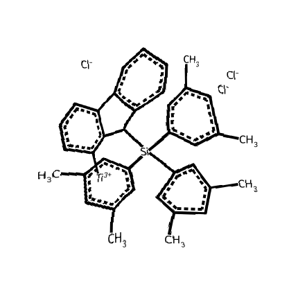 Cc1cc(C)cc([Si](c2cc(C)cc(C)c2)(c2cc(C)cc(C)c2)C2c3ccccc3-c3ccc[c]([Ti+3])c32)c1.[Cl-].[Cl-].[Cl-]